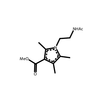 COC(=O)c1c(C)c(C)n(CCNC(C)=O)c1C